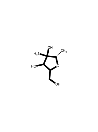 BC1(O)C(O)C(CO)O[C@H]1C